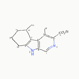 CCOC(=O)c1ncc2[nH]c3c(c2c1C)C(C)CCC3